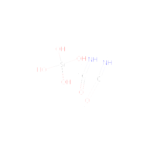 N=C=O.N=C=O.O[Si](O)(O)O